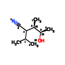 CC(C)C(C#N)[C@@H](C)[C@@H](C)O